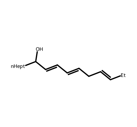 CCC=CCC=CC=CC(O)CCCCCCC